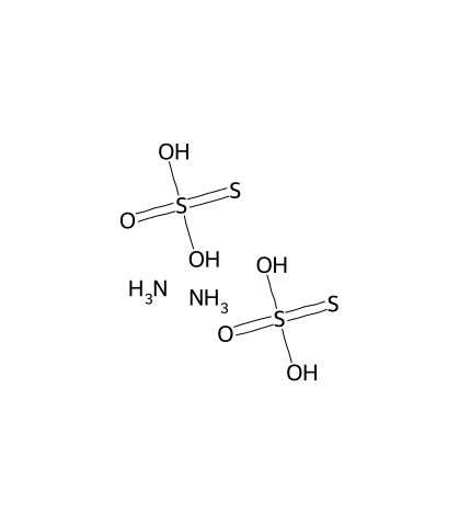 N.N.O=S(O)(O)=S.O=S(O)(O)=S